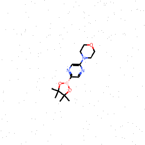 CC1(C)OB(c2cnc(N3CCOCC3)cn2)OC1(C)C